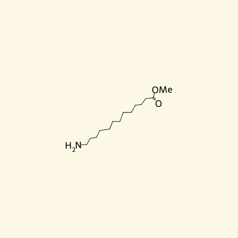 COC(=O)CCCCCCCCCCCCN